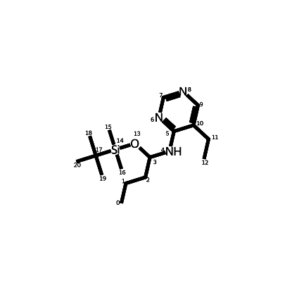 CCCC(Nc1ncncc1CC)O[Si](C)(C)C(C)(C)C